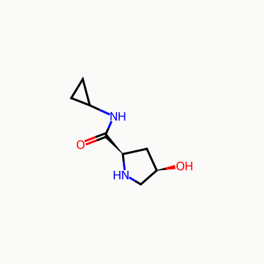 O=C(NC1CC1)[C@H]1C[C@@H](O)CN1